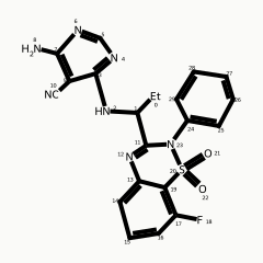 CCC(Nc1ncnc(N)c1C#N)C1=Nc2cccc(F)c2S(=O)(=O)N1c1ccccc1